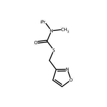 CC(C)N(C)C(=O)SCc1ccon1